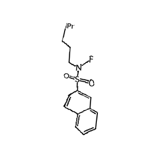 CC(C)CCCN(F)S(=O)(=O)c1ccc2ccccc2c1